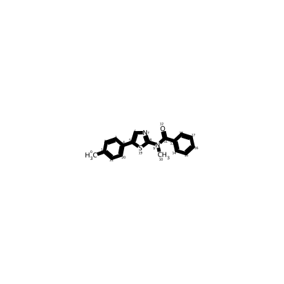 Cc1ccc(-c2cnc(N(C)C(=O)c3ccccc3)s2)cc1